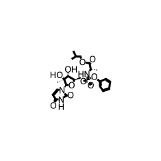 CC(C)COC(=O)[C@H](C)NP(=O)(OC[C@H]1O[C@@H](n2ccc(=O)[nH]c2=O)[C@@](C)(O)[C@@H]1O)Oc1ccccc1